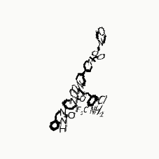 CC(C)(C(=O)OCCN1CCOCC1)N1CCC(C2CCN(C(=O)[C@@H](Cc3cc(Cl)c(N)c(C(F)(F)F)c3)OC(=O)N3CCC(N4CCc5ccccc5NC4=O)CC3)CC2)CC1